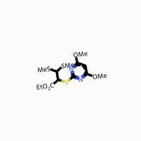 CCOC(=O)C(Sc1nc(OC)cc(OC)n1)C(SC)SC